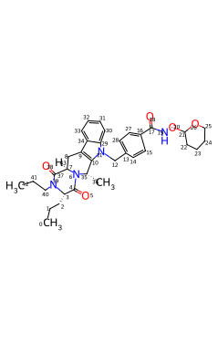 CCC[C@H]1C(=O)N2[C@H](Cc3c(n(Cc4ccc(C(=O)NOC5CCCCO5)cc4)c4ccccc34)[C@@H]2C)C(=O)N1CCC